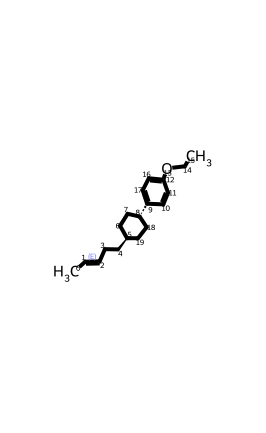 C/C=C/CC[C@H]1CC[C@H](c2ccc(OCC)cc2)CC1